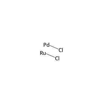 [Cl][Pd].[Cl][Ru]